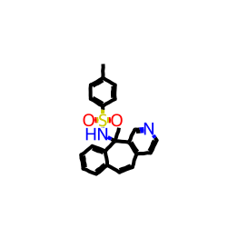 Cc1ccc(S(=O)(=O)NC2(C)c3ccccc3C=Cc3ccncc32)cc1